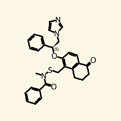 CN(SCc1c(O[C@H](Cn2ccnc2)c2ccccc2)ccc2c1CCCC2=O)C(=O)c1ccccc1